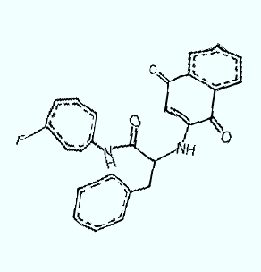 O=C1C=C(NC(Cc2ccccc2)C(=O)Nc2cccc(F)c2)C(=O)c2ccccc21